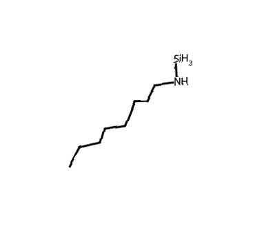 CCCCCCCCN[SiH3]